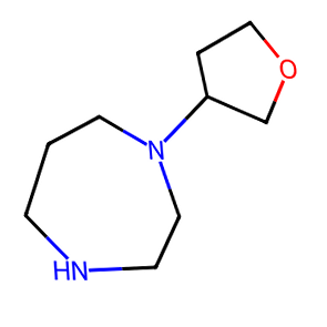 C1CNCCN(C2CCOC2)C1